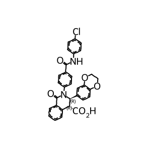 O=C(Nc1ccc(Cl)cc1)c1ccc(N2C(=O)c3ccccc3[C@@H](C(=O)O)[C@@H]2c2ccc3c(c2)OCCO3)cc1